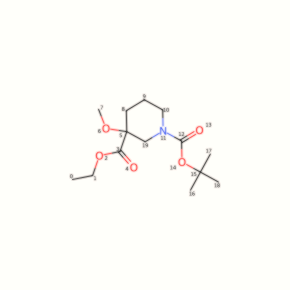 CCOC(=O)C1(OC)CCCN(C(=O)OC(C)(C)C)C1